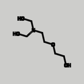 OCCOCCN(CO)CO